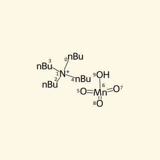 CCCC[N+](CCCC)(CCCC)CCCC.[O]=[Mn](=[O])(=[O])[OH]